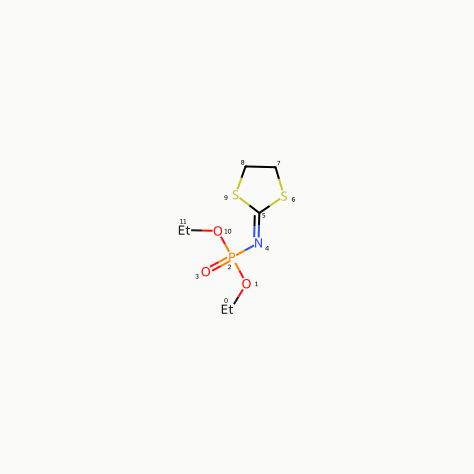 CCOP(=O)(N=C1SCCS1)OCC